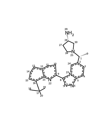 C[C@H](c1ccc2nnc(-c3ccc4cccc(C(C)(C)C)c4n3)n2c1)N1CC[C@H](N)C1